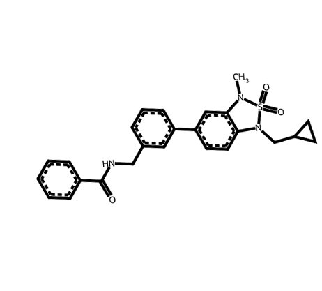 CN1c2cc(-c3cccc(CNC(=O)c4ccccc4)c3)ccc2N(CC2CC2)S1(=O)=O